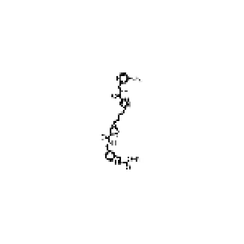 CC(C)(C)OC(=O)NCc1cccc(CNC(=O)c2cn(CCCCn3cc(C(=O)NCc4cc(C(F)(F)F)ccn4)nn3)nn2)c1